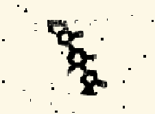 CC(=O)NC[C@H]1CN(c2cc(F)c(N3CC(=O)C4(CC4)C3)c(F)c2)C(=O)O1